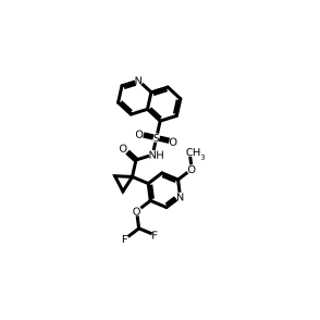 COc1cc(C2(C(=O)NS(=O)(=O)c3cccc4ncccc34)CC2)c(OC(F)F)cn1